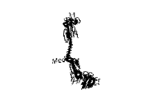 CCc1ccc2c(c1)c(=O)c(C(=O)Nc1ccc(Oc3ncnc4cc(OCCCCCCCCCCCC(=O)Nc5cccc6c5C(=O)N(C5CCC(=O)NC5=O)C6=O)c(OC)cc34)c(F)c1)c(C)n2C